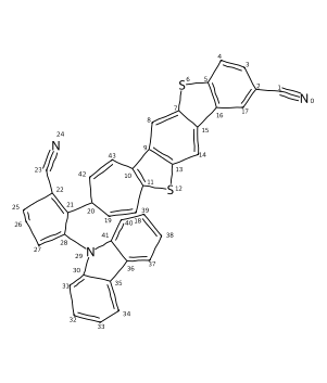 N#Cc1ccc2sc3cc4c5c(sc4cc3c2c1)C=CC(c1c(C#N)cccc1-n1c2ccccc2c2ccccc21)C=C5